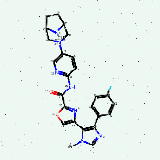 CC(C)n1cnc(-c2ccc(F)cc2)c1-c1coc(C(=O)Nc2ccc(N3CC4CCC(C3)N4C)cn2)n1